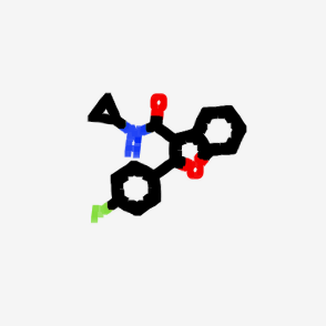 O=C(NC1CC1)c1c(-c2ccc(F)cc2)oc2ccccc12